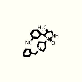 C=C1CNC(=O)N(C2CCN(Cc3ccccc3)CC2)C1c1cccc(C#N)c1